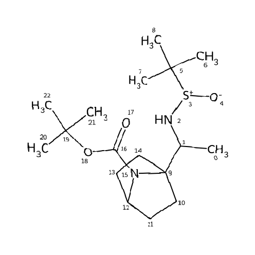 CC(N[S+]([O-])C(C)(C)C)C12CCC(CC1)N2C(=O)OC(C)(C)C